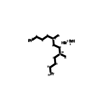 Br.Br.CC(C)CCCP(C)CCP(C)CCCC(C)C